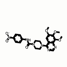 COc1cc2c(N3CCN(C(=O)Nc4ccc([N+](=O)[O-])cc4)CC3)ncnc2c(OC)c1OC